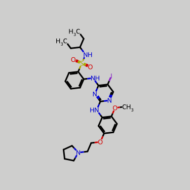 CCC(CC)NS(=O)(=O)c1ccccc1Nc1nc(Nc2cc(OCCN3CCCC3)ccc2OC)ncc1I